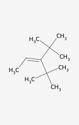 CC=C(C(C)(C)C)C(C)(C)C